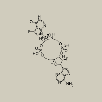 Nc1ncnc2c1ncn2[C@@H]1O[C@@H]2CCOP(=O)(O)O[C@@H]3[C@H](O)[C@@H](COP(=O)(S)O[C@H]2[C@H]1F)O[C@H]3n1cc(F)c2c(=O)[nH]cnc21